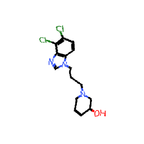 OC1CCCN(CCCn2cnc3c(Cl)c(Cl)ccc32)C1